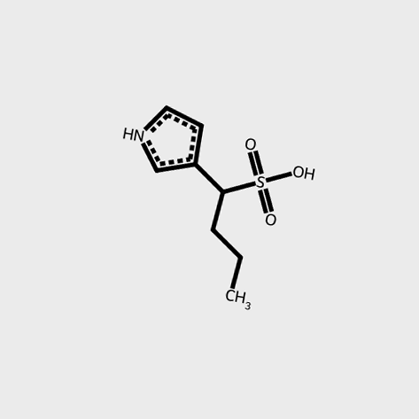 CCCC(c1cc[nH]c1)S(=O)(=O)O